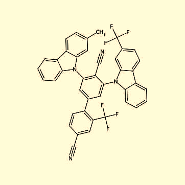 Cc1ccc2c3ccccc3n(-c3cc(-c4ccc(C#N)cc4C(F)(F)F)cc(-n4c5ccccc5c5ccc(C(F)(F)F)cc54)c3C#N)c2c1